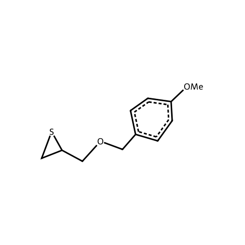 COc1ccc(COCC2CS2)cc1